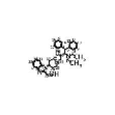 CCN(CC)CC(c1ccccc1)c1ccccc1OCCN1CCC(n2c(CO)nc3ccccc32)CC1